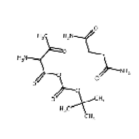 CC(=O)C(N)C(=O)OC(=O)OC(C)(C)C.NC(=O)CCC(N)=O